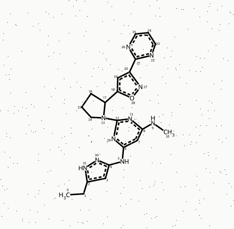 CCc1cc(Nc2cc(NC)nc(N3CCCC3c3cc(-c4ncccn4)no3)n2)n[nH]1